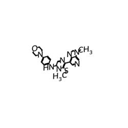 CSc1nc(Nc2ccc(N3CCOCC3)cc2)cnc1-c1cncc2c1ncn2C